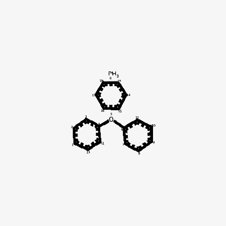 P.c1ccc(Oc2ccccc2)cc1.c1ccccc1